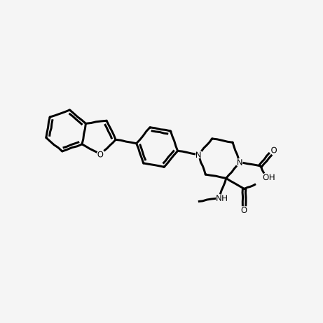 CNC1(C(C)=O)CN(c2ccc(-c3cc4ccccc4o3)cc2)CCN1C(=O)O